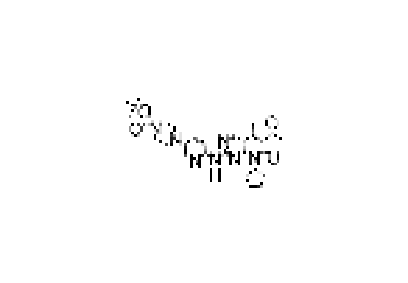 CC(=O)c1c(C)c2cnc(Nc3ccc(N4CCN(C(=O)OC(C)(C)C)CC4)cn3)nc2n(C2CCCC2)c1=O